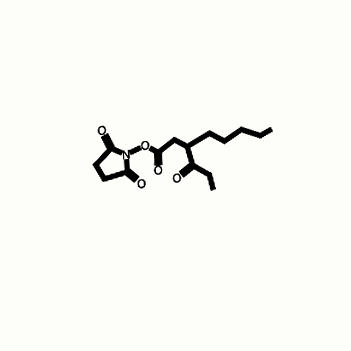 CCCCCC(CC(=O)ON1C(=O)CCC1=O)C(=O)CC